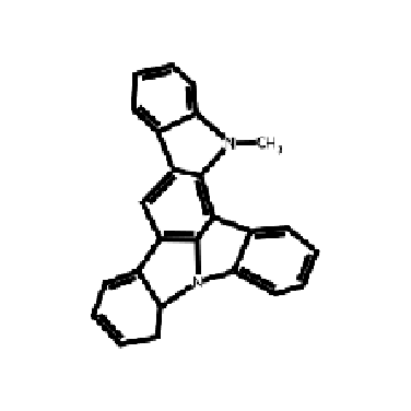 Cn1c2ccccc2c2cc3c4c(c5ccccc5n4C4CC=CC=C34)c21